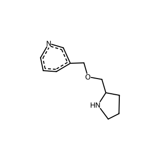 c1cncc(COCC2CCCN2)c1